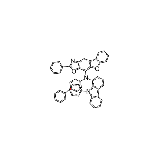 c1ccc(-c2ccc(N(c3c4oc(-c5ccccc5)nc4cc4c3oc3ccccc34)c3cccc4c5ccccc5n(-c5ccccc5)c34)cc2)cc1